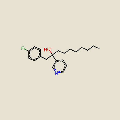 CCCCCCCCC(O)(Cc1ccc(F)cc1)c1cccnc1